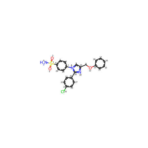 NS(=O)(=O)c1ccc(-n2cc(COc3ccccc3)nc2-c2ccc(Cl)cc2)cc1